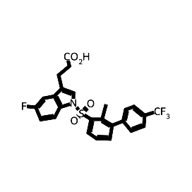 Cc1c(-c2ccc(C(F)(F)F)cc2)cccc1S(=O)(=O)n1cc(CCC(=O)O)c2cc(F)ccc21